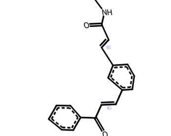 CNC(=O)/C=C/c1cccc(/C=C/C(=O)c2ccccc2)c1